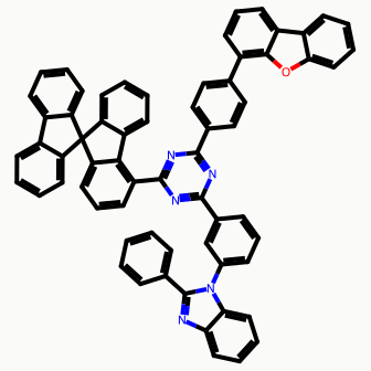 c1ccc(-c2nc3ccccc3n2-c2cccc(-c3nc(-c4ccc(-c5cccc6c5oc5ccccc56)cc4)nc(-c4cccc5c4-c4ccccc4C54c5ccccc5-c5ccccc54)n3)c2)cc1